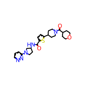 O=C(N[C@H]1CCN(c2cccnn2)C1)c1ccc(C2CCN(C(=O)C3CCOCC3)CC2)s1